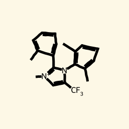 Cc1ccccc1-c1n(-c2c(C)cccc2C)c(C(F)(F)F)c[n+]1C